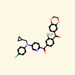 O=C(c1ccc(C(=O)c2ccc3c(c2)OCCO3)c(C(=O)O)c1)c1ccc(N(CC2CC2)c2ccc(Cl)cc2)cn1